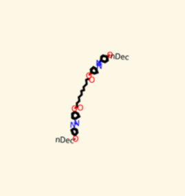 CCCCCCCCCCOc1ccc(/N=N/c2ccc(OC(=O)CCCCCCCCCC(=O)Oc3ccc(/N=N/c4ccc(OCCCCCCCCCC)cc4)cc3)cc2)cc1